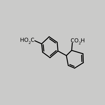 O=C(O)c1ccc(C2C=CC=CC2C(=O)O)cc1